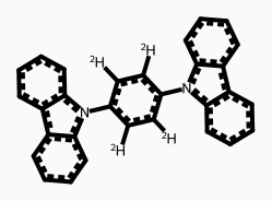 [2H]c1c([2H])c(-n2c3ccccc3c3ccccc32)c([2H])c([2H])c1-n1c2ccccc2c2ccccc21